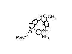 COCCOc1ccc2ccc(Nc3nc(N[C@@H]4CCCC[C@@H]4N)c(F)cc3C(N)=O)cc2n1